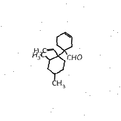 C=CC1(C2(C=O)CC=CCC2)CCC(C)CC1C